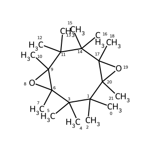 CC1(C)C(C)(C)C2(C)OC2(C)C(C)(C)C(C)(C)C2(C)OC12C